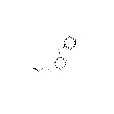 C=CCNc1nc(Nc2ccc(Cl)cc2)ncc1[N+](=O)[O-]